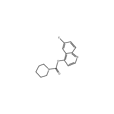 O=C(Oc1ccnc2ccc(F)cc12)N1CCCCC1